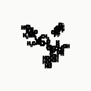 CCn1c(CCNC(=O)c2nc3cc[nH]c3nc2N)[n+](CC)c2ccc(C(=O)N3CCC(N(C[C@H](O)[C@@H](O)[C@H](O)[C@H](O)CO)C[C@H](O)[C@@H](O)[C@H](O)[C@H](O)CO)CC3)cc21.O=C(O)C(F)(F)F.O=C([O-])C(F)(F)F